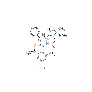 CNC(C)(C)C1CC(=O)N2C[C@H](O[C@H](C)c3cc(C(F)(F)F)cc(C(F)(F)F)c3)[C@@H](c3ccc(F)cc3)[C@@H]2C1